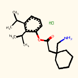 CC(C)c1cccc(OC(=O)CC2(CN)CCCCC2)c1C(C)C.Cl